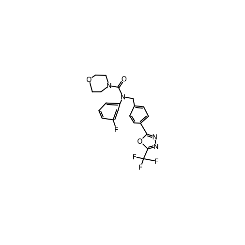 O=C(N1CCOCC1)N(Cc1ccc(-c2nnc(C(F)(F)F)o2)cc1)c1cccc(F)c1